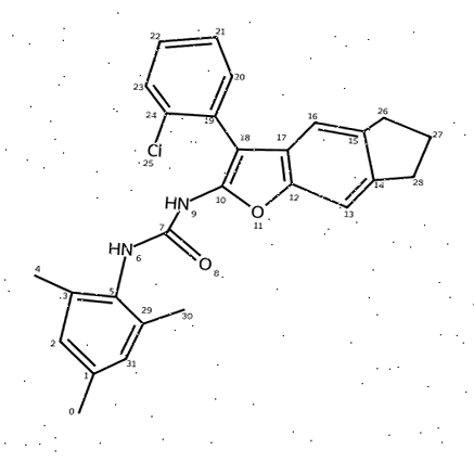 Cc1cc(C)c(NC(=O)Nc2oc3cc4c(cc3c2-c2ccccc2Cl)CCC4)c(C)c1